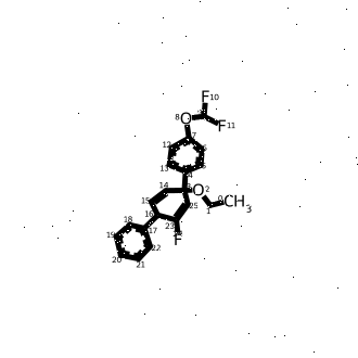 CCOC1(c2ccc(OC(F)F)cc2)C=CC(c2ccccc2)C(F)=C1